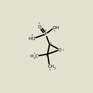 CC1(C)OC1P(=O)(O)O